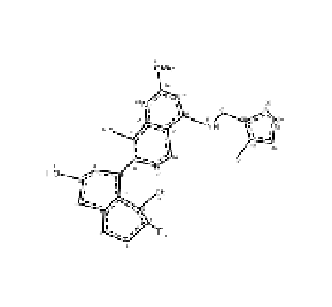 CCc1c(F)ccc2cc(O)cc(-c3ncc4c(NCc5n[nH]cc5C)nc(OC)nc4c3F)c12